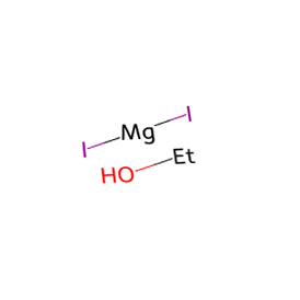 CCO.[I][Mg][I]